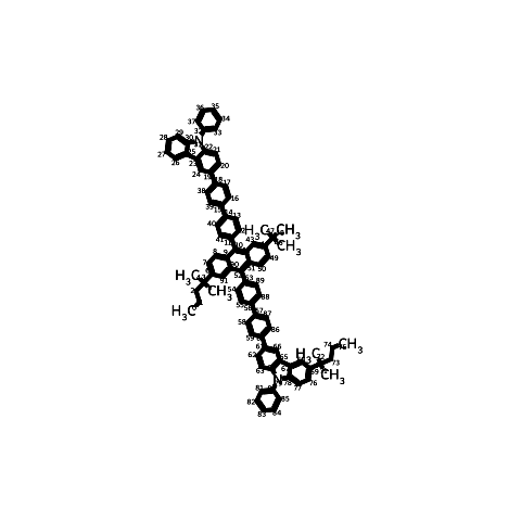 CCCC(C)(C)c1ccc2c(-c3ccc(-c4ccc(-c5ccc6c(c5)c5ccccc5n6-c5ccccc5)cc4)cc3)c3cc(C(C)(C)C)ccc3c(-c3ccc(-c4ccc(-c5ccc6c(c5)c5cc(C(C)(C)CCC)ccc5n6-c5ccccc5)cc4)cc3)c2c1